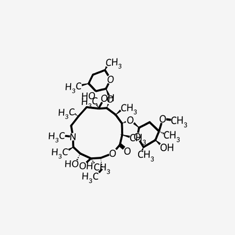 CC[C@H]1OC(=O)[C@H](C)[C@@H](O[C@H]2C[C@@](C)(OC)[C@@H](O)[C@H](C)O2)[C@H](C)[C@@H](O[C@@H]2O[C@H](C)C[C@H](C)C2O)[C@](C)(O)C[C@@H](C)CN(C)[C@H](C)[C@@H](O)[C@]1(C)O